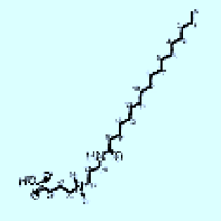 CCCCCCCCCCCCCCCCCC(=O)NCCC[N+](C)(C)CCCS(=O)(=O)O